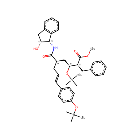 CC(C)(C)OC(=O)[C@@H](Cc1ccccc1)[C@H](C[C@@H](CC=Cc1ccc(O[Si](C)(C)C(C)(C)C)cc1)C(=O)N[C@H]1c2ccccc2C[C@H]1O)O[Si](C)(C)C(C)(C)C